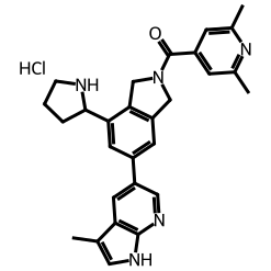 Cc1cc(C(=O)N2Cc3cc(-c4cnc5[nH]cc(C)c5c4)cc(C4CCCN4)c3C2)cc(C)n1.Cl